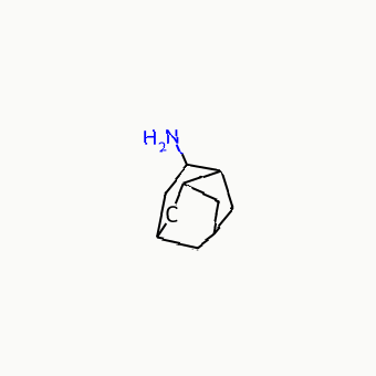 NC1CC2CC3CC(C2)C1C3